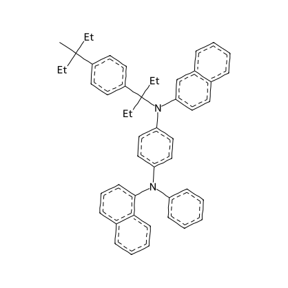 CCC(C)(CC)c1ccc(C(CC)(CC)N(c2ccc(N(c3ccccc3)c3cccc4ccccc34)cc2)c2ccc3ccccc3c2)cc1